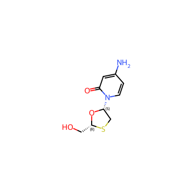 Nc1ccn([C@@H]2CS[C@H](CO)O2)c(=O)c1